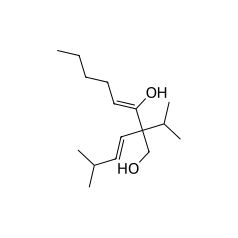 CCCCC=C(O)C(C=CC(C)C)(CO)C(C)C